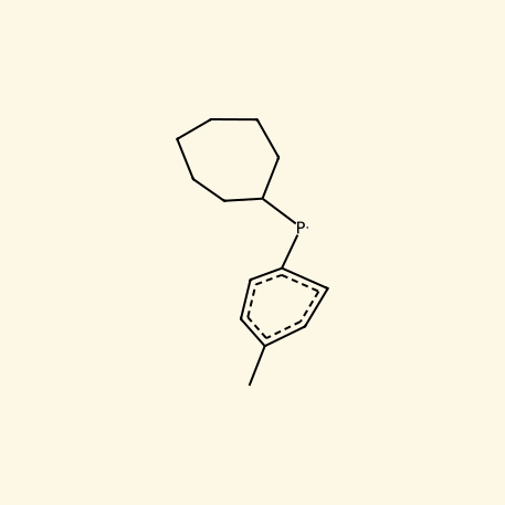 Cc1ccc([P]C2CCCCCC2)cc1